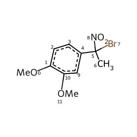 COc1ccc(C(C)(Br)[N+](=O)[O-])cc1OC